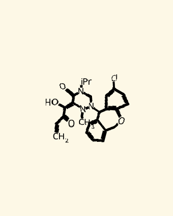 C=CC(=O)/C(O)=C1/C(=O)N(C(C)C)CN(C2c3ccccc3COc3ccc(Cl)cc32)N1C